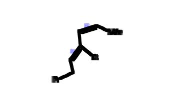 CCC(/C=C\NC)=C\CC(C)C